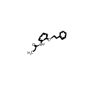 CCC(=O)Nc1ccccc1OCCc1ccccc1